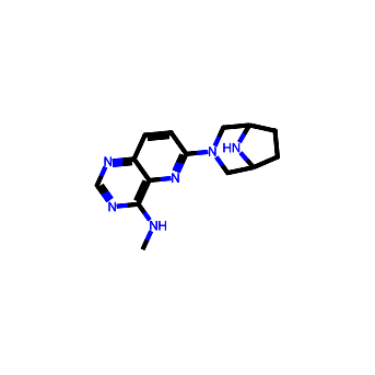 CNc1ncnc2ccc(N3CC4CCC(C3)N4)nc12